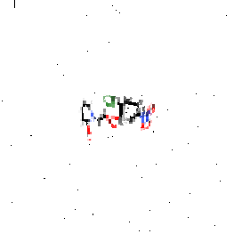 O=c1ccccn1CCOc1cc([N+](=O)[O-])ccc1Cl